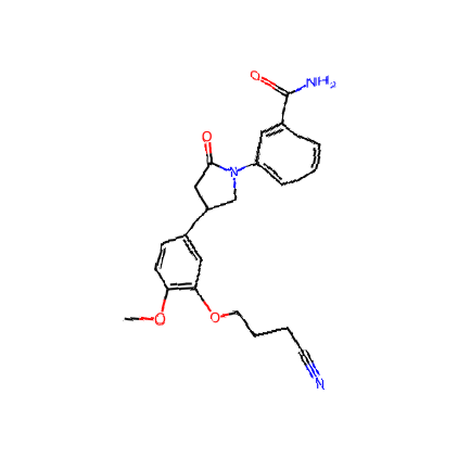 COc1ccc(C2CC(=O)N(c3cccc(C(N)=O)c3)C2)cc1OCCCC#N